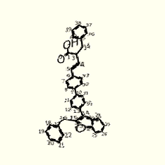 O=C(O)C(C=Cc1ccc(-c2ccc(-c3c(Cc4ccccc4)oc4ccccc34)cc2)cc1)Cc1ccccc1